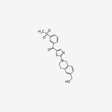 CS(=O)(=O)c1cccc(C(=O)c2cnc(N3CCc4cc(CO)ccc4C3)s2)c1